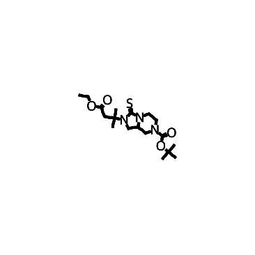 CCOC(=O)CC(C)(C)N1CC2CN(C(=O)OC(C)(C)C)CCN2C1=S